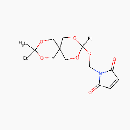 CCC1(C)OCC2(CO1)COC(CC)(OCN1C(=O)C=CC1=O)OC2